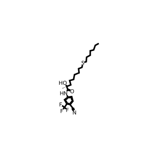 CCCCCCCSCCCCCCC[C@](C)(O)C(=O)Nc1ccc(C#N)c(C(F)(F)F)c1